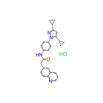 Cl.O=C(Cc1ccc2ncccc2c1)Nc1ccc(-n2nc(C3CC3)cc2C2CC2)cc1